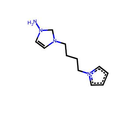 NN1C=CN(CCCCn2cccc2)C1